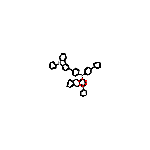 c1ccc(-c2ccc(N(c3ccc(-c4ccc5c(c4)c4ccccc4n5-c4ccccc4)cc3)c3ccc(-c4ccccc4)c4c3C3c5ccccc5C4c4ccccc43)cc2)cc1